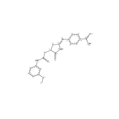 COc1cccc(NC(=O)CC2S/C(=N/c3ccc(C(=O)O)cc3)NC2=O)c1